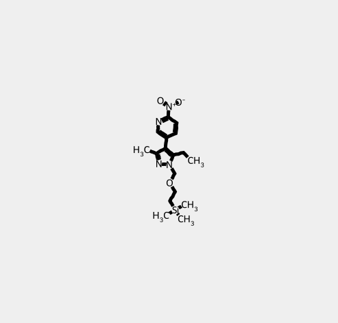 CCc1c(-c2ccc([N+](=O)[O-])nc2)c(C)nn1COCC[Si](C)(C)C